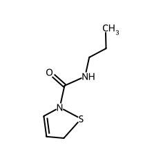 CCCNC(=O)N1C=CCS1